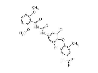 COc1cccc(OC)c1C(=O)NC(=O)Nc1cc(Cl)c(Oc2ccc(C(F)(F)F)cc2C)c(Cl)c1